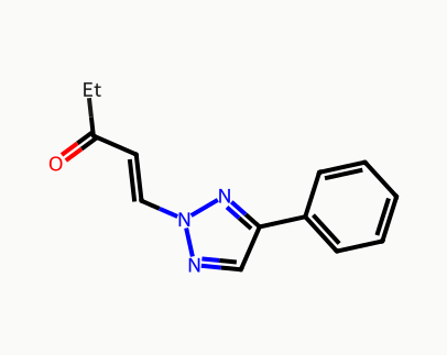 CCC(=O)C=Cn1ncc(-c2ccccc2)n1